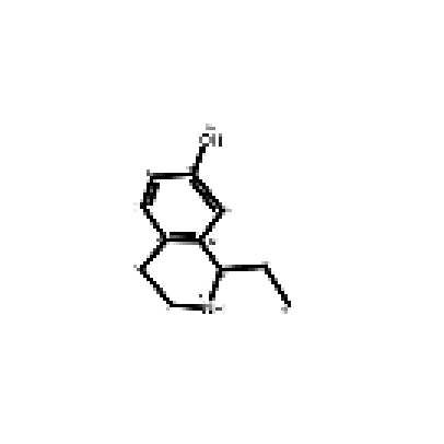 CCC1NCCc2ccc(O)cc21